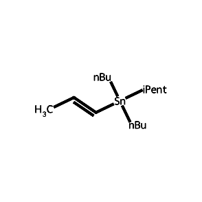 CC=[CH][Sn]([CH2]CCC)([CH2]CCC)[CH](C)CCC